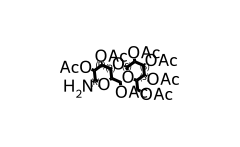 CC(=O)OCC1O[C@@H](N)C(OC(C)=O)[C@H](OC(C)=O)[C@@H]1O[C@@H]1OC(COC(C)=O)[C@H](OC(C)=O)[C@H](OC(C)=O)C1OC(C)=O